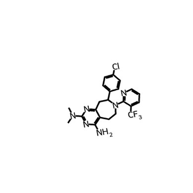 CN(C)c1nc(N)c2c(n1)CC(c1ccc(Cl)cc1)N(c1ncccc1C(F)(F)F)CC2